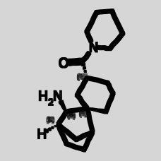 N[C@@H]1[C@@H]2CCC(C2)[C@]12CCC[C@@H](C(=O)N1CCCCC1)C2